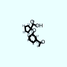 CC(=O)c1cccc(OC2(C(=O)O)CCCC2)c1